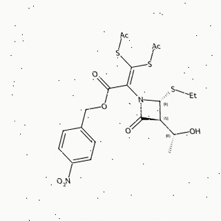 CCS[C@@H]1[C@@H]([C@@H](C)O)C(=O)N1C(C(=O)OCc1ccc([N+](=O)[O-])cc1)=C(SC(C)=O)SC(C)=O